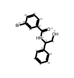 O=C(NC(CO)c1ccccc1)c1cccc(Br)c1